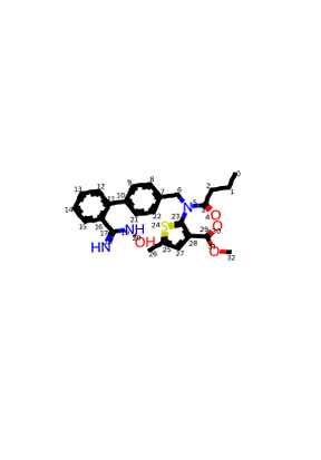 CCCC(=O)N(Cc1ccc(-c2ccccc2C(=N)NO)cc1)c1sc(C)cc1C(=O)OC